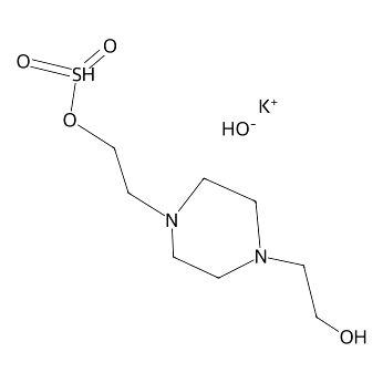 O=[SH](=O)OCCN1CCN(CCO)CC1.[K+].[OH-]